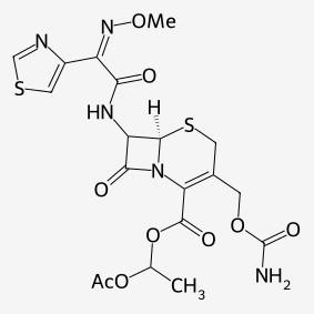 CO/N=C(\C(=O)NC1C(=O)N2C(C(=O)OC(C)OC(C)=O)=C(COC(N)=O)CS[C@H]12)c1cscn1